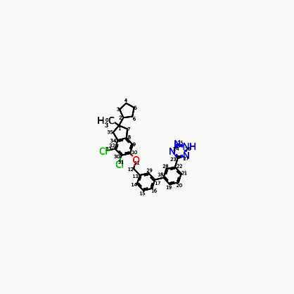 CC1(C2CCCC2)Cc2cc(OCc3cccc(-c4cccc(-c5nn[nH]n5)c4)c3)c(Cl)c(Cl)c2C1